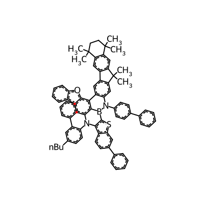 CCCCc1ccc(N2c3cc4c(oc5ccccc54)c4c3B(c3sc5cc(-c6ccccc6)ccc5c32)N(c2ccc(-c3ccccc3)cc2)c2cc3c(cc2-4)-c2cc4c(cc2C3(C)C)C(C)(C)CCC4(C)C)c(-c2ccccc2)c1